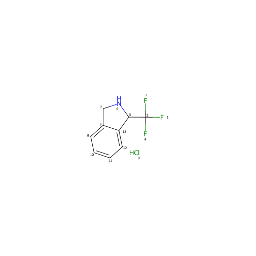 Cl.FC(F)(F)C1NCc2ccccc21